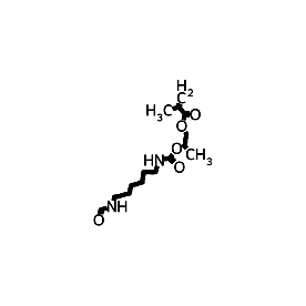 C=C(C)C(=O)OCC(C)OC(=O)NCCCCCCNC=O